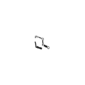 C=CC.CC(C)OP=O